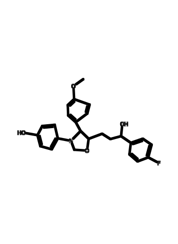 COc1ccc(C2C(CCC(O)c3ccc(F)cc3)OCN2c2ccc(O)cc2)cc1